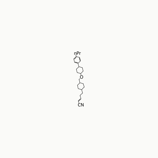 CCCc1ccc(C2CCC(OCC3CCC(CCC=CC#N)CC3)CC2)cc1